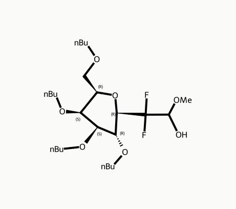 CCCCOC[C@H]1O[C@@H](C(F)(F)C(O)OC)[C@H](OCCCC)[C@@H](OCCCC)[C@H]1OCCCC